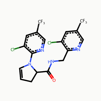 O=C(NCc1ncc(C(F)(F)F)cc1Cl)C1CC=CN1c1ncc(C(F)(F)F)cc1Cl